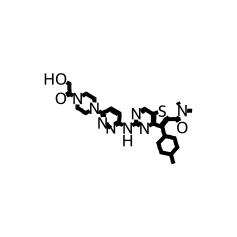 CC1CCC(c2c(C(=O)N(C)C)sc3cnc(Nc4ccc(N5CCN(C(=O)CO)CC5)nn4)nc23)CC1